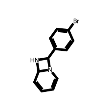 Brc1ccc(C2NC3C=CC=CN32)cc1